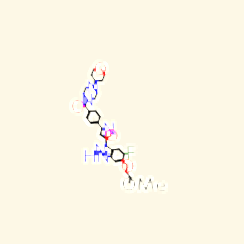 COCCOc1cc2[nH]nc(-c3cc(-c4ccc(C(=O)N5CCN(C6CCOCC6)CC5)cc4)no3)c2cc1F